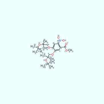 COC(=O)c1cc(OCC(C)(C)OC(C)(C)C)c(OCC(C)(C)OC(C)(C)C)cc1[N+](=O)[O-]